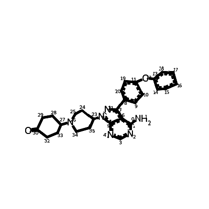 Nc1ncnc2c1c(-c1ccc(Oc3ccccc3)cc1)nn2C1CCN(C2CCC(=O)CC2)CC1